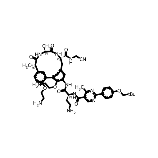 Cc1nc(-c2ccc(OCC(C)(C)C)cc2)ncc1C(=O)N[C@@H](CCN)C(=O)Nc1cc2cc(c1OCCN)-c1cc(ccc1OCCN)[C@H](C)C(=O)N[C@@H](C)C(=O)N[C@H](C(=O)NCC#N)C2